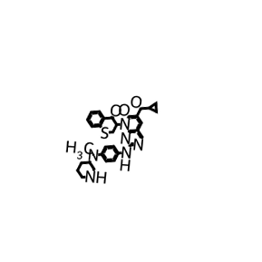 CN(c1ccc(Nc2ncc3cc(C(=O)C4CC4)c(=O)n(C4CSc5ccccc5C4=O)c3n2)cc1)C1CCCNC1